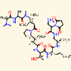 CC[C@H](C)[C@@H]([C@@H](CC(=O)N1CCC[C@H]1[C@H](OC)[C@@H](C)C(=O)NC(C(=O)N[C@@H](CCC(=O)O)C(=O)N[C@@H](CNC(=O)C(CN)N1C(=O)CCC1=O)C(=O)O)[C@@H](C)O)OC)N(C)C(=O)C(NC(=O)[C@H](C(C)C)N(C)C)C(C)C